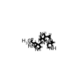 CC(F)(F)c1cc2c(-c3nc(NC4CCNCC45CC5)c4c(C5CC5)cncc4n3)ccnc2[nH]1